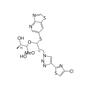 CO[C@@H](Cn1cc(-c2nc(Cl)cs2)nn1)C(OC(CO)[C@@H](C)O)Sc1cnc2ncsc2c1